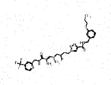 CCCOc1cccc(CNC(=O)c2cn(CCC(F)CN(N)/C=C(\N)C(=O)NCc3cc(C(F)(F)F)ccn3)nn2)c1